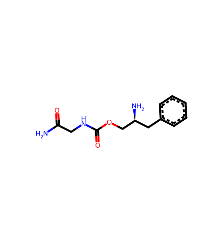 NC(=O)CNC(=O)OC[C@@H](N)Cc1ccccc1